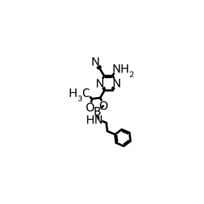 CC1OB(NCCc2ccccc2)OC1c1cnc(N)c(C#N)n1